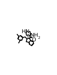 Cc1cc(C)cc(CC2Cc3ccccc3C2(C(N)=O)N2CCNCC2)c1